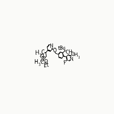 CCOP(C)(=O)CC(C)c1ccnc(OCc2ccc(-c3cc(C)ncc3F)c([C@@H](C)C(C)(C)C)c2)c1